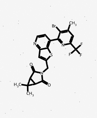 Cc1cc(C(F)(F)F)nc(-c2ccnc3cc(CN4C(=O)C5C(C4=O)C5(C)C)sc23)c1Br